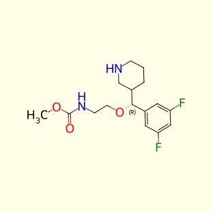 COC(=O)NCCO[C@@H](c1cc(F)cc(F)c1)C1CCCNC1